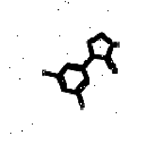 O=C1NCCC1c1cc(F)cc(F)c1